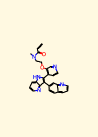 C=CC(=O)N(C)CCOc1cnccc1-c1[nH]c2cccnc2c1-c1ccc2cccnc2c1